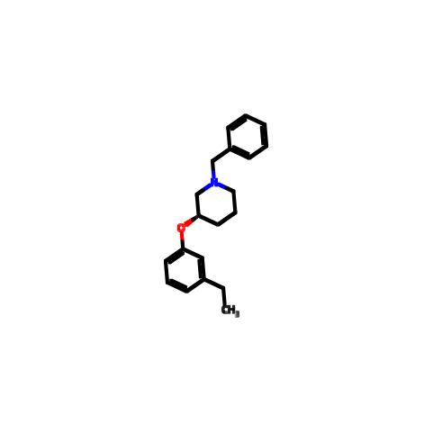 CCc1cccc(O[C@@H]2CCCN(Cc3ccccc3)C2)c1